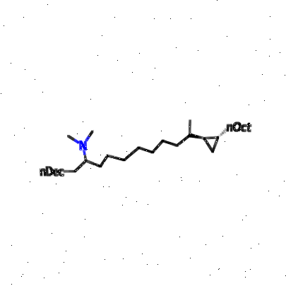 CCCCCCCCCCCC(CCCCCCCC(C)[C@@H]1C[C@H]1CCCCCCCC)N(C)C